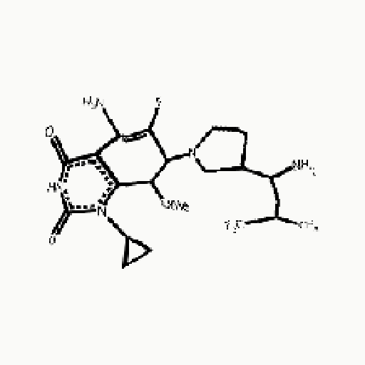 COC1c2c(c(=O)[nH]c(=O)n2C2CC2)C(N)=C(F)C1N1CCC(C(N)C(C(F)(F)F)C(F)(F)F)C1